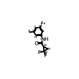 Cc1cc(F)cc(NC(=O)C2CC2(F)F)c1